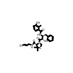 CC/C=C/CNC(=O)[C@H]1N(C(=O)[C@@H](O)[C@H](Cc2ccccc2)NC(=O)c2cccc(O)c2C)CSC1(C)C